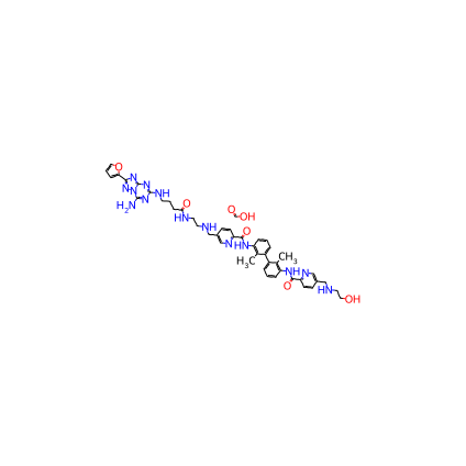 Cc1c(NC(=O)c2ccc(CNCCO)cn2)cccc1-c1cccc(NC(=O)c2ccc(CNCCNC(=O)CCCNc3nc(N)n4nc(-c5ccco5)nc4n3)cn2)c1C.O=CO